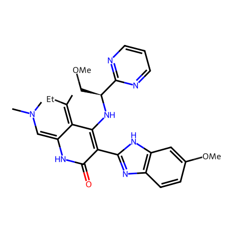 CC/C(C)=c1/c(N[C@@H](COC)c2ncccn2)c(-c2nc3ccc(OC)cc3[nH]2)c(=O)[nH]/c1=C/N(C)C